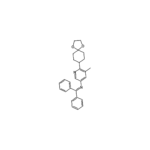 Cc1cc(N=C(c2ccccc2)c2ccccc2)cnc1C1CCC2(CC1)OCCO2